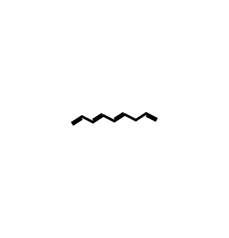 C=CC=CC=CCC=C